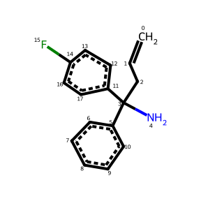 C=CCC(N)(c1ccccc1)c1ccc(F)cc1